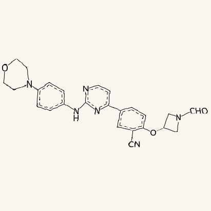 N#Cc1cc(-c2ccnc(Nc3ccc(N4CCOCC4)cc3)n2)ccc1OC1CN(C=O)C1